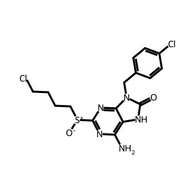 Nc1nc([S+]([O-])CCCCCl)nc2c1[nH]c(=O)n2Cc1ccc(Cl)cc1